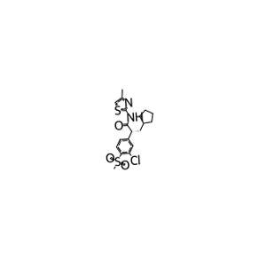 Cc1csc(NC(=O)[C@H](CC2CCCC2)c2ccc(S(C)(=O)=O)c(Cl)c2)n1